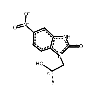 C[C@H](O)Cn1c(=O)[nH]c2cc([N+](=O)[O-])ccc21